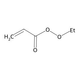 [CH2]COOC(=O)C=C